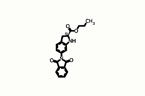 CCCOC(=O)[C@@H]1Cc2ccc(N3C(=O)c4ccccc4C3=O)cc2N1